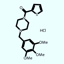 COc1cc(CN2CCN(C(=O)c3cccs3)CC2)cc(OC)c1OC.Cl